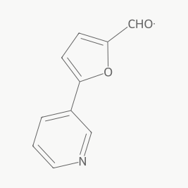 O=[C]c1ccc(-c2cccnc2)o1